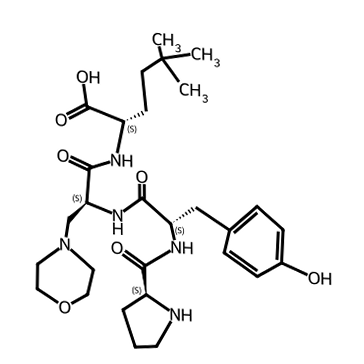 CC(C)(C)CC[C@H](NC(=O)[C@H](CN1CCOCC1)NC(=O)[C@H](Cc1ccc(O)cc1)NC(=O)[C@@H]1CCCN1)C(=O)O